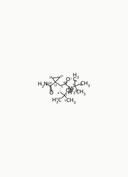 CC(C)(C)C[C@@H](C(=O)NC(C)(C)C)C1(C(N)=O)CC1